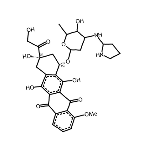 COc1cccc2c1C(=O)c1c(O)c3c(c(O)c1C2=O)C[C@@](O)(C(=O)CO)C[C@@H]3OC1CC(NC2CCCN2)C(O)C(C)O1